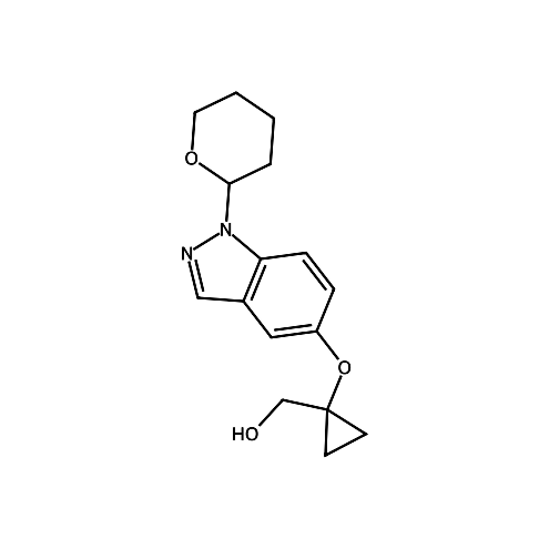 OCC1(Oc2ccc3c(cnn3C3CCCCO3)c2)CC1